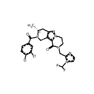 C[C@@H]1Cc2nn3c(c2CN1C(=O)c1ccc(Cl)c(Cl)c1)C(=O)N(Cc1nccn1C(F)F)CC3